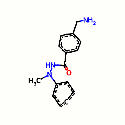 CN(NC(=O)c1ccc(CN)cc1)c1ccccc1